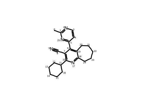 Cc1nccc(-c2c(C#N)c(C3CCCCC3)nc3c2CCCCC3)n1